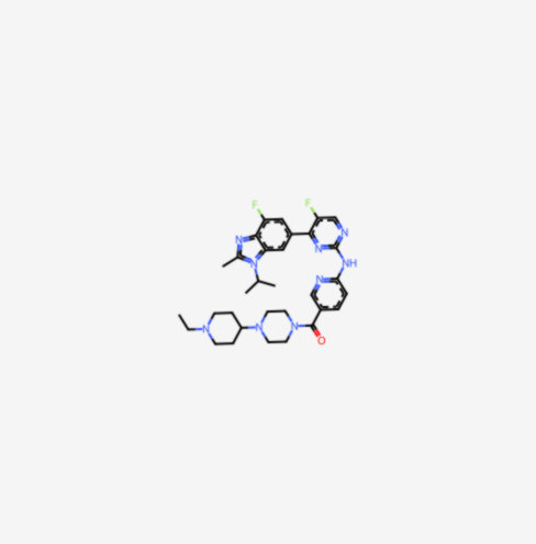 CCN1CCC(N2CCN(C(=O)c3ccc(Nc4ncc(F)c(-c5cc(F)c6nc(C)n(C(C)C)c6c5)n4)nc3)CC2)CC1